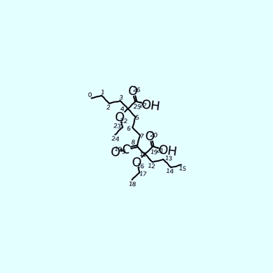 CCCCC(CCCC(=C=O)C(CCCC)(OCC)C(=O)O)(OCC)C(=O)O